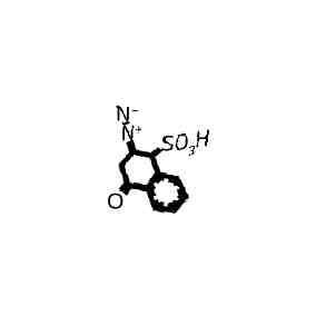 [N-]=[N+]=C1CC(=O)c2ccccc2C1S(=O)(=O)O